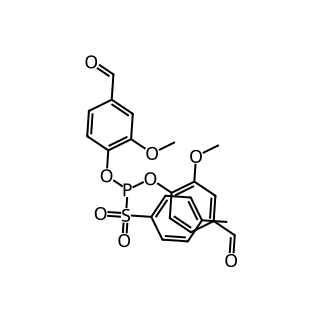 COc1cc(C=O)ccc1OP(Oc1ccc(C=O)cc1OC)S(=O)(=O)c1ccc(C)cc1